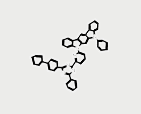 c1ccc(-c2ccc(-c3nc(-c4ccccc4)nc(-c4cccc(-n5c6ccccc6c6cc7c8ccccc8n(-c8ccccc8)c7cc65)n4)n3)cc2)cc1